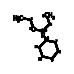 CCO[SiH](CC)C1CCCCC1